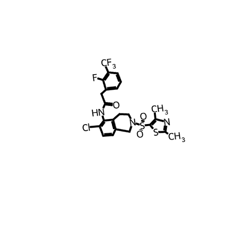 Cc1nc(C)c(S(=O)(=O)N2CCc3c(ccc(Cl)c3NC(=O)Cc3cccc(C(F)(F)F)c3F)C2)s1